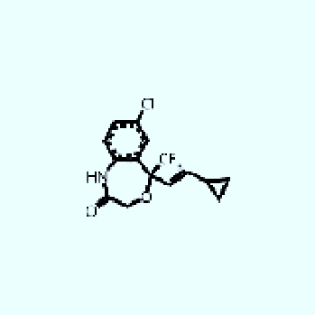 O=C1COC(/C=C/C2CC2)(C(F)(F)F)c2cc(Cl)ccc2N1